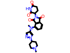 CN1CCC(n2cc(N(C)c3cccc4c3C(=O)N(C3CCC(=O)NC3=O)C4=O)cn2)CC1